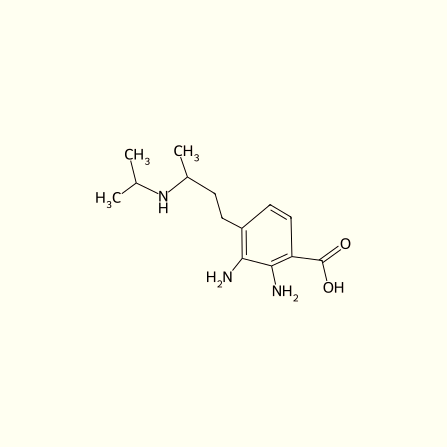 CC(C)NC(C)CCc1ccc(C(=O)O)c(N)c1N